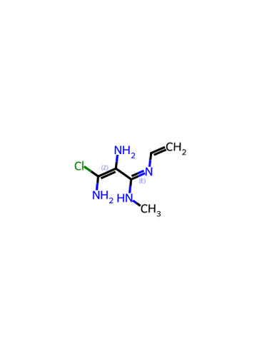 C=C/N=C(NC)\C(N)=C(/N)Cl